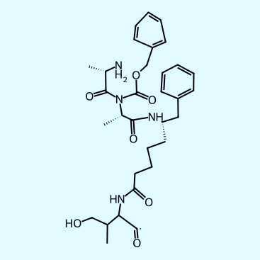 CC(CO)C([C]=O)NC(=O)CCCC[C@@H](Cc1ccccc1)NC(=O)[C@H](C)N(C(=O)OCc1ccccc1)C(=O)[C@H](C)N